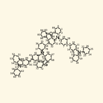 c1ccc(N(c2ccc(-c3ccc4c(c3)c3ccccc3n4-c3ccccc3)cc2)c2ccc(-c3cccc(N(c4ccc(-c5ccc6c(c5)c5ccccc5n6-c5ccccc5)cc4)c4cccc5sc6ccccc6c45)c3)c3c2oc2ccccc23)cc1